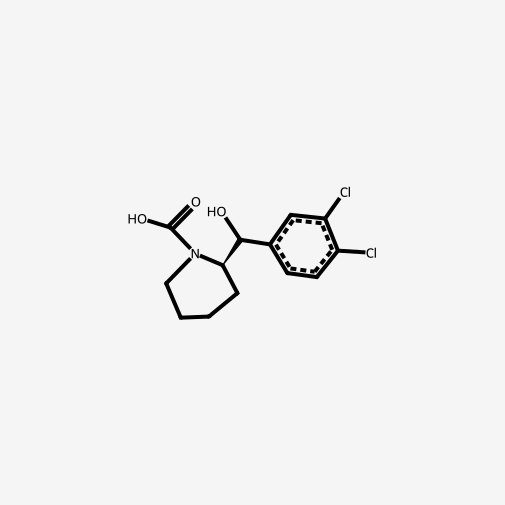 O=C(O)N1CCCC[C@@H]1C(O)c1ccc(Cl)c(Cl)c1